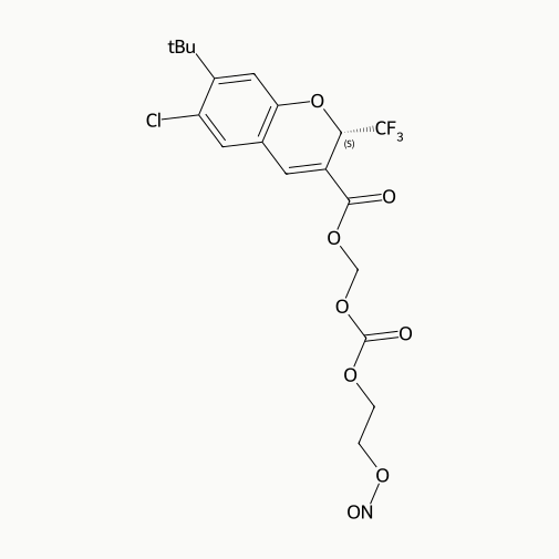 CC(C)(C)c1cc2c(cc1Cl)C=C(C(=O)OCOC(=O)OCCON=O)[C@@H](C(F)(F)F)O2